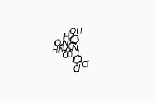 O=C1NC(=O)C2(N1)C(=O)N(Cc1ccc(Cl)c(Cl)c1)c1ccc(O)cc12